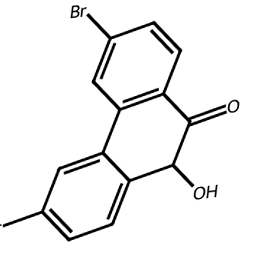 O=C1c2ccc(Br)cc2-c2cc(Br)ccc2C1O